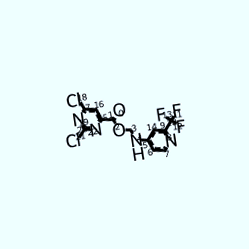 O=C(OCNc1ccnc(C(F)(F)F)c1)c1cc(Cl)nc(Cl)n1